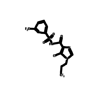 O=C(NS(=O)(=O)c1cccc(C(F)(F)F)c1)c1ncn(CCC(F)(F)F)c1Cl